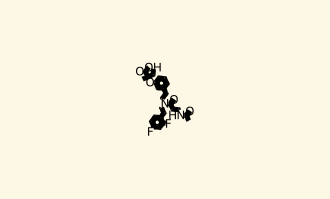 CCC(C)(Oc1cccc(CCN(CCc2ccc(F)cc2F)C(=O)CCNC(C)=O)c1)C(=O)O